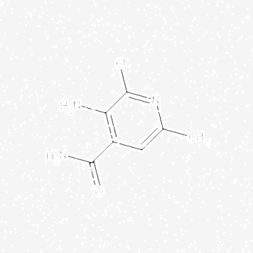 Cc1cc(C(N)=O)c(N)c(Cl)n1